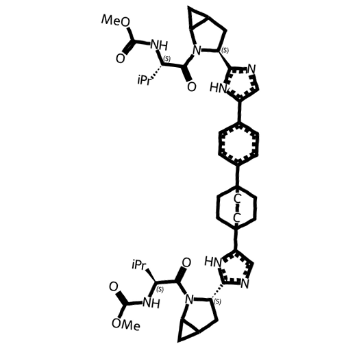 COC(=O)N[C@H](C(=O)N1C2CC2C[C@H]1c1ncc(-c2ccc(C34CCC(c5cnc([C@@H]6CC7CC7N6C(=O)[C@@H](NC(=O)OC)C(C)C)[nH]5)(CC3)CC4)cc2)[nH]1)C(C)C